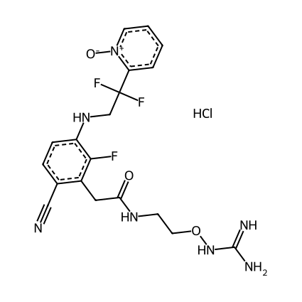 Cl.N#Cc1ccc(NCC(F)(F)c2cccc[n+]2[O-])c(F)c1CC(=O)NCCONC(=N)N